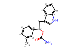 NC(=O)O[C@H](Cc1c[nH]c2ccccc12)c1cccc(C(F)(F)F)c1